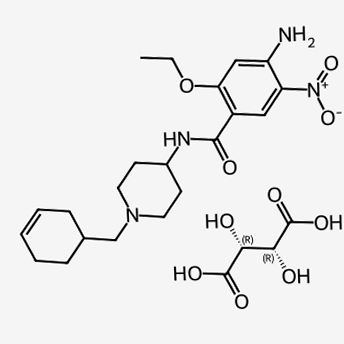 CCOc1cc(N)c([N+](=O)[O-])cc1C(=O)NC1CCN(CC2CC=CCC2)CC1.O=C(O)[C@H](O)[C@@H](O)C(=O)O